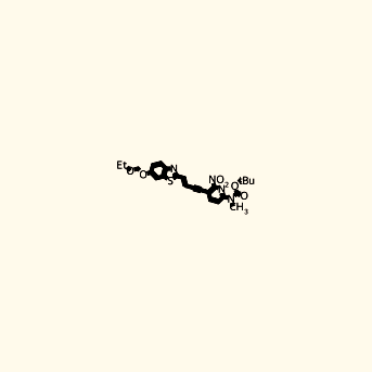 CCOCOc1ccc2nc(C=CC#Cc3ccc(N(C)C(=O)OC(C)(C)C)nc3[N+](=O)[O-])sc2c1